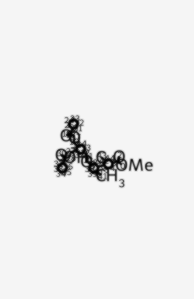 COC(=O)c1ccc(-c2cc(OCc3ccc(COC(=O)c4ccccc4)c(COC(=O)c4ccccc4)c3)ccc2C)c(C)c1